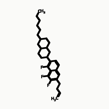 C=CCCc1cc2ccc(C3CCC4CC(CCCCCC)CCC4C3)c(F)c2c(F)c1F